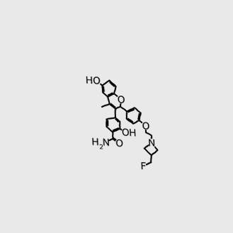 CC1=C(c2ccc(C(N)=O)c(O)c2)C(c2ccc(OCCN3CC(CF)C3)cc2)Oc2ccc(O)cc21